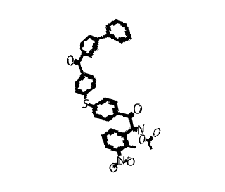 CC(=O)O/N=C(/C(=O)c1ccc(Sc2ccc(C(=O)c3ccc(-c4ccccc4)cc3)cc2)cc1)c1cccc([N+](=O)[O-])c1C